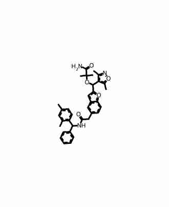 Cc1ccc(C(NC(=O)Cc2ccc3oc(C(OC(C)(C)C(N)=O)c4c(C)noc4C)cc3c2)c2ccccc2)c(C)c1